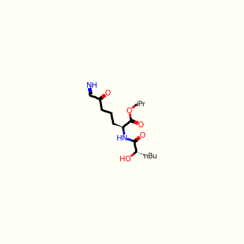 CCCC[C@H](O)C(=O)N[C@@H](CCCC(=O)C=N)C(=O)OC(C)C